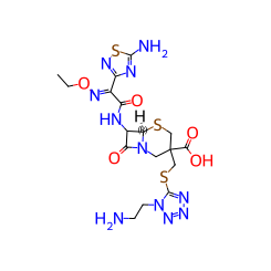 CCON=C(C(=O)NC1C(=O)N2CC(CSc3nnnn3CCN)(C(=O)O)CS[C@H]12)c1nsc(N)n1